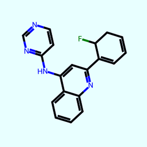 FC1CC=CC=C1c1cc(Nc2ccncn2)c2ccccc2n1